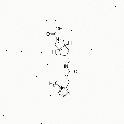 Cn1ncnc1COC(=O)NC[C@@H]1C[C@@H]2CN(C(=O)O)C[C@@H]2C1